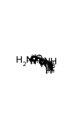 Nc1ccc(Oc2ccnc(Nc3ccn(C(F)F)n3)c2)cn1